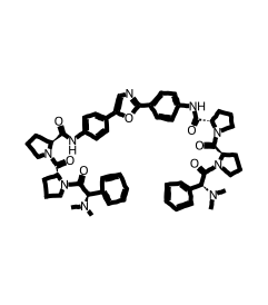 CN(C)[C@@H](C(=O)N1CCC[C@@H]1C(=O)N1CCC[C@H]1C(=O)Nc1ccc(-c2cnc(-c3ccc(NC(=O)[C@@H]4CCCN4C(=O)[C@H]4CCCN4C(=O)[C@@H](c4ccccc4)N(C)C)cc3)o2)cc1)c1ccccc1